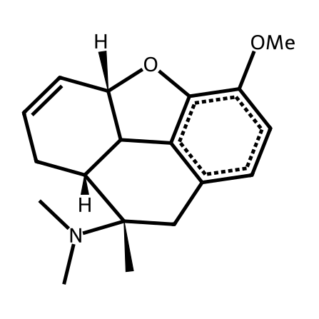 COc1ccc2c3c1O[C@H]1C=CC[C@H](C31)[C@@](C)(N(C)C)C2